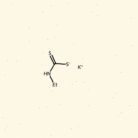 CCNC(=S)[S-].[K+]